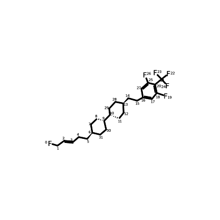 FCC=CCC[C@H]1CC[C@H]([C@H]2CC[C@H](CCc3cc(F)c(C(F)(F)F)c(F)c3)CC2)CC1